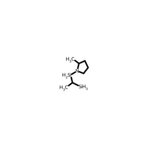 CC([SiH3])[SiH2]N1CCCC1C